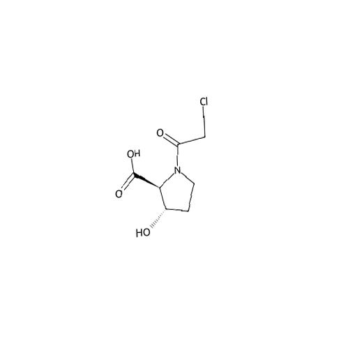 O=C(O)[C@@H]1[C@@H](O)CCN1C(=O)CCl